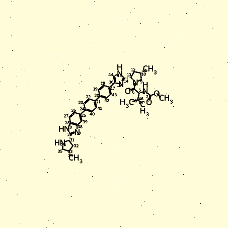 COC(=O)N[C@H](C(=O)N1C[C@@H](C)C[C@H]1c1nc(-c2ccc(-c3ccc(-c4ccc5[nH]c([C@@H]6C[C@H](C)CN6)nc5c4)cc3)cc2)c[nH]1)C(C)C